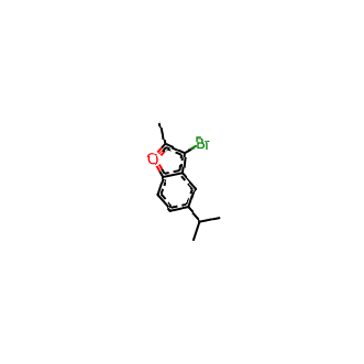 Cc1oc2ccc(C(C)C)cc2c1Br